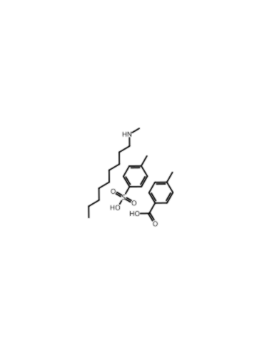 CCCCCCCCCNC.Cc1ccc(C(=O)O)cc1.Cc1ccc(S(=O)(=O)O)cc1